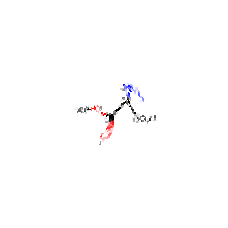 CCOC(=O)C(N)S(=O)(=O)O